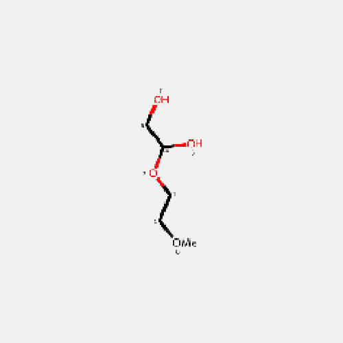 COCCOC(O)CO